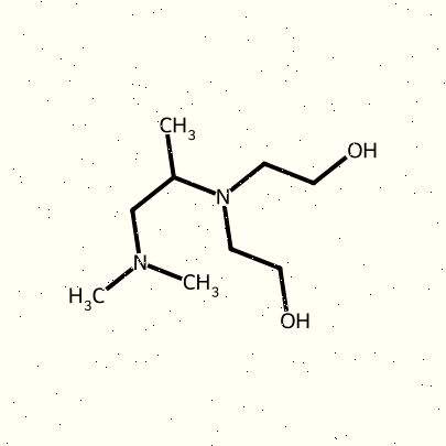 CC(CN(C)C)N(CCO)CCO